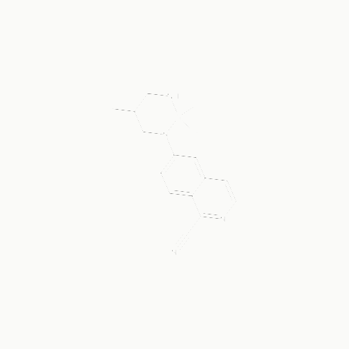 CC1CNS(O)(O)N(c2ccc3c(C#N)nccc3c2)C1